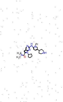 CC(C)N1CC(C2CCNCC2)=CC=C1Nc1ncc2cc(C(=O)N(C)C)n(C3CCCC3)c2n1